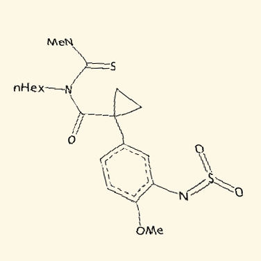 CCCCCCN(C(=O)C1(c2ccc(OC)c(N=S(=O)=O)c2)CC1)C(=S)NC